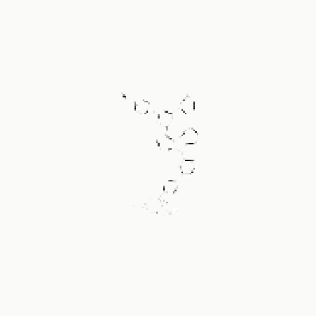 C[C@@H]1C[C@@H]2C[C@H](C)CC(c3ccc(-c4cccc(-n5c6ccccc6c6c(-c7nc(-c8ccccc8)nc(-c8ccc(C#N)cc8)n7)cccc65)c4)cc3)(C1)C2